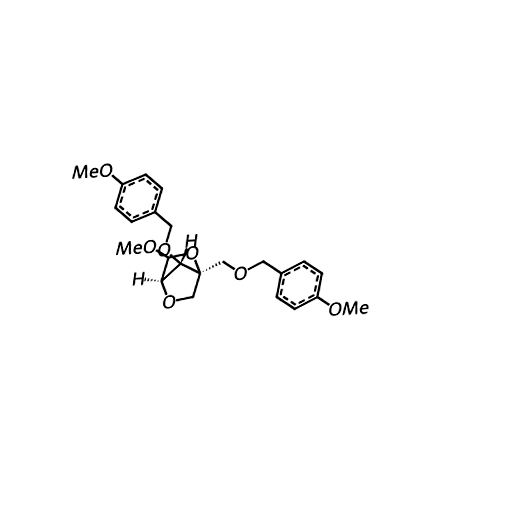 COc1ccc(COC[C@@]23CO[C@@H](C(OC)O2)[C@@H]3OCc2ccc(OC)cc2)cc1